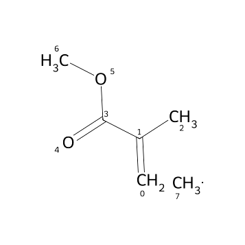 C=C(C)C(=O)OC.[CH3]